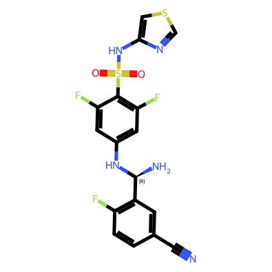 N#Cc1ccc(F)c([C@H](N)Nc2cc(F)c(S(=O)(=O)Nc3cscn3)c(F)c2)c1